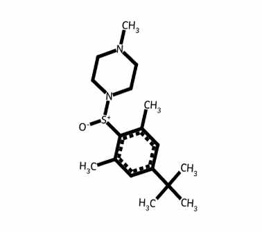 Cc1cc(C(C)(C)C)cc(C)c1[S+]([O-])N1CCN(C)CC1